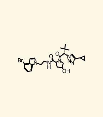 CC(C)(C)[C@@H](C(=O)N1CC(O)CC1C(=O)NCCn1ccc2c(Br)cccc21)n1cc(C2CC2)nn1